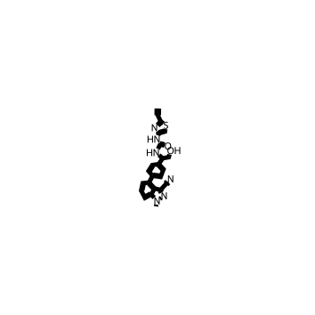 C#Cc1nc(NC(=O)NC(CO)c2ccc(-c3cccc4c3c(C#N)nn4C)cc2)cs1